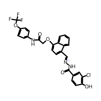 O=C(COc1ccc(/C=N/NC(=O)c2ccc(O)c(Cl)c2)c2ccccc12)Nc1ccc(OC(F)(F)F)cc1